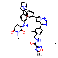 Cc1cc(-c2ncnn3cc(-c4ccc(CN5C6CCC5CC(c5ccc(NC7CCC(=O)NC7=O)cc5)C6)cc4)cc23)ccc1CNC(=O)c1noc(C(C)(C)C)n1